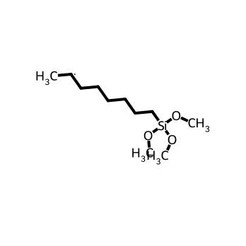 C[CH]CCCCCC[Si](OC)(OC)OC